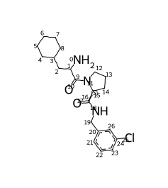 NC(CC1CCCCC1)C(=O)N1CCC[C@H]1C(=O)NCc1cccc(Cl)c1